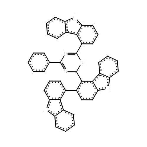 c1ccc(C2=NC(c3c(-c4cccc5sc6ccccc6c45)ccc4oc5ccccc5c34)NC(c3cccc4oc5ccccc5c34)=N2)cc1